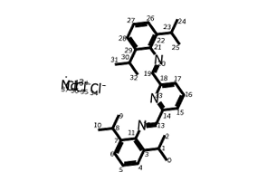 CC(C)c1cccc(C(C)C)c1N=Cc1cccc(C=Nc2c(C(C)C)cccc2C(C)C)n1.[Cl-].[Cl-].[Cl-].[Nd+3]